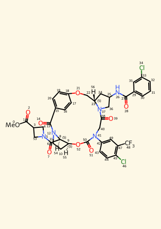 COC(=O)C1CN(C(=O)[C@@H]2[C@@H]3CCN2C(=O)c2ccc(cc2)OC[C@@H]2CC(NC(=O)c4cccc(Cl)c4)CN2C(=O)CN(c2ccc(Cl)c(C(F)(F)F)c2)C(=O)O3)C1